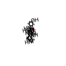 O=C(N[C@H]1CC[C@H](O)CC1)c1nc(-c2cnc3[nH]ccc3c2N[C@@H]2C=C3C4C[C@@H]2C[C@]3(O)C4)no1